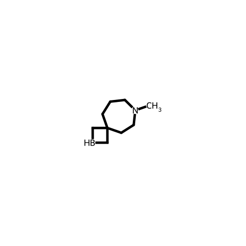 CN1CCCC2(CBC2)CC1